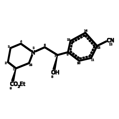 CCOC(=O)[C@H]1CCCN(C[C@H](O)c2ccc(C#N)cc2)C1